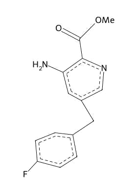 COC(=O)c1ncc(Cc2ccc(F)cc2)cc1N